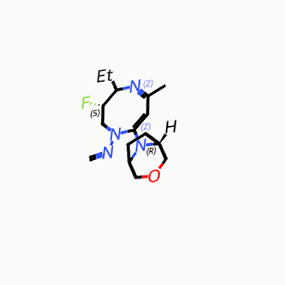 C=NN1C[C@H](F)C(CC)/N=C(C)\C=C/1N1C2CC[C@@H]1COC2